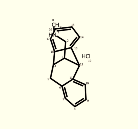 CNCC1C2Cc3ccccc3C1c1ccccc12.Cl